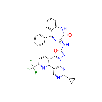 O=C1Nc2ccccc2C(c2ccccc2)=N[C@@H]1Nc1nnc(-c2ccc(C(F)(F)F)nc2-c2cnc(C3CC3)nc2)o1